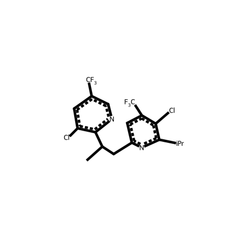 CC(C)c1nc(CC(C)c2ncc(C(F)(F)F)cc2Cl)cc(C(F)(F)F)c1Cl